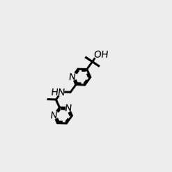 CC(NCc1ccc(C(C)(C)O)cn1)c1ncccn1